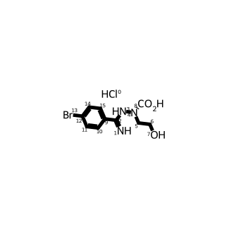 Cl.N=C(NN(CCO)C(=O)O)c1ccc(Br)cc1